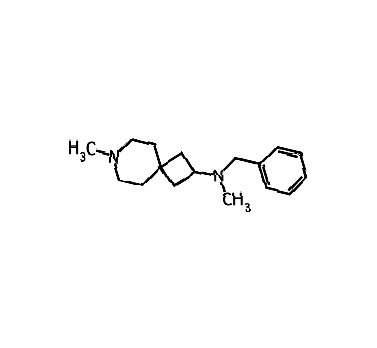 CN1CCC2(CC1)CC(N(C)Cc1ccccc1)C2